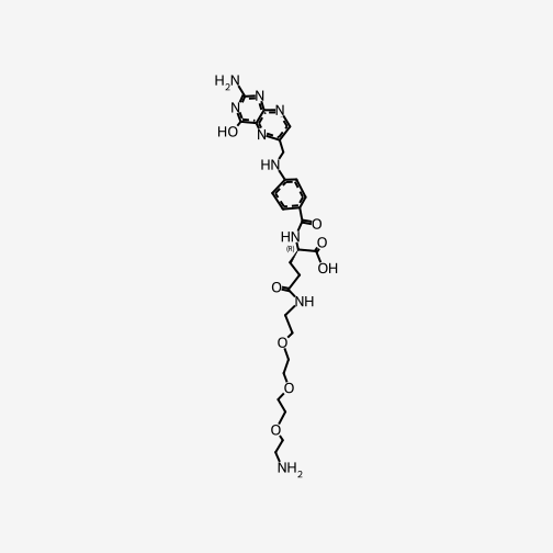 NCCOCCOCCOCCNC(=O)CC[C@@H](NC(=O)c1ccc(NCc2cnc3nc(N)nc(O)c3n2)cc1)C(=O)O